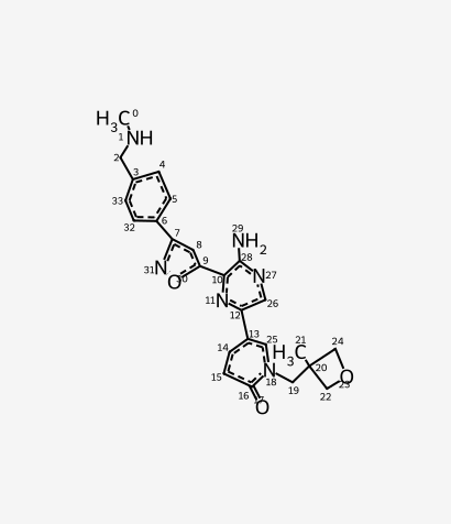 CNCc1ccc(-c2cc(-c3nc(-c4ccc(=O)n(CC5(C)COC5)c4)cnc3N)on2)cc1